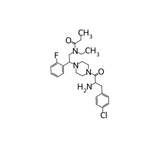 CCC(=O)N(CC)CC(c1ccccc1F)N1CCN(C(=O)C(N)Cc2ccc(Cl)cc2)CC1